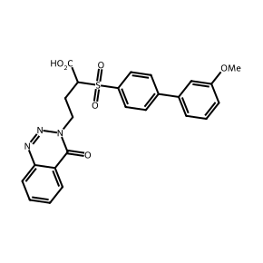 COc1cccc(-c2ccc(S(=O)(=O)C(CCn3nnc4ccccc4c3=O)C(=O)O)cc2)c1